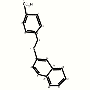 O=C(O)c1ccc(CSc2ccc3ccccc3c2)cc1